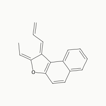 C=C/C=c1\c(=C/C)oc2ccc3ccccc3c12